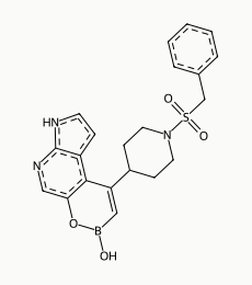 O=S(=O)(Cc1ccccc1)N1CCC(C2=CB(O)Oc3cnc4[nH]ccc4c32)CC1